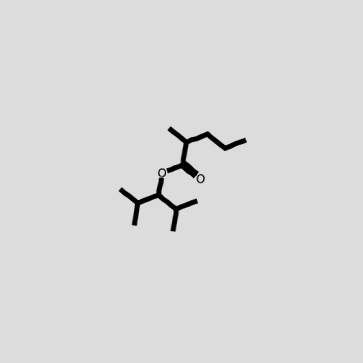 CCCC(C)C(=O)OC(C(C)C)C(C)C